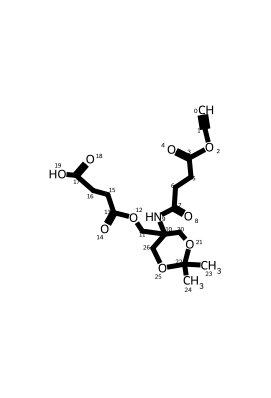 C#COC(=O)CCC(=O)NC1(COC(=O)CCC(=O)O)COC(C)(C)OC1